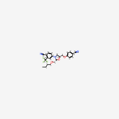 CCCCOC[C@H]1O[C@H](COc2ccc(C#N)cc2)CN1c1ccc(C#N)c(C(F)(F)F)c1